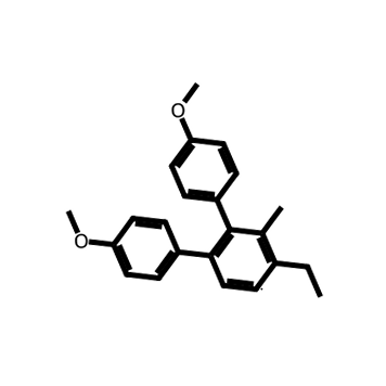 CCc1[c]cc(-c2ccc(OC)cc2)c(-c2ccc(OC)cc2)c1C